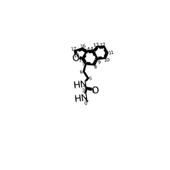 CNC(=O)NCCc1cc2ccccc2c2ccoc12